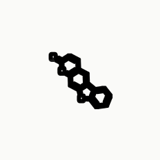 O=c1ccc2cc3c(cc2o1)oc1ccccc13